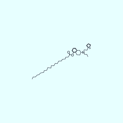 CCCCCCCCCCCCCCCCCCCCCC(=O)Oc1cccc2c1CC[C@H](N(CCC)CCc1cccs1)C2